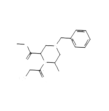 COC(=O)C1CN(Cc2ccccc2)CC(C)N1C(=O)CN.Cl